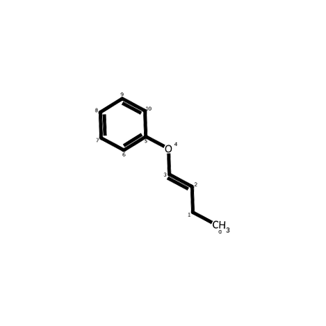 CCC=COc1ccccc1